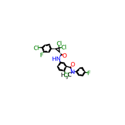 CN(C(=O)c1cc(NC(=O)[C@@H]2[C@@H](c3ccc(Cl)c(F)c3)C2(Cl)Cl)ccc1Cl)c1ccc(F)cc1